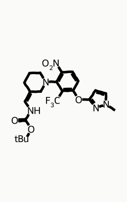 Cn1ccc(Oc2ccc([N+](=O)[O-])c(N3CCC/C(=C/NC(=O)OC(C)(C)C)C3)c2C(F)(F)F)n1